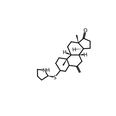 C=C1C[C@@H]2[C@@H](CC[C@]3(C)C(=O)CC[C@@H]23)[C@@]2(C)CCC(S[C@H]3CCCN3)CC12